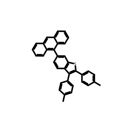 Cc1ccc(-c2sc3cc(-c4c5ccccc5cc5ccccc45)ccc3c2-c2ccc(C)cc2)cc1